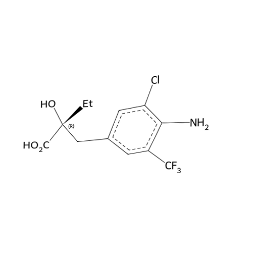 CC[C@@](O)(Cc1cc(Cl)c(N)c(C(F)(F)F)c1)C(=O)O